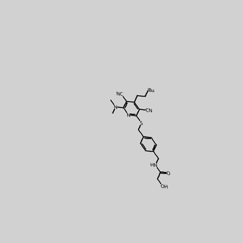 CCC(C)CCc1c(C#N)c(SCc2ccc(CNC(=O)CO)cc2)nc(N(C)C)c1C#N